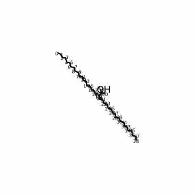 CCCCCCCCCCCCCCCCCCCN(CCCCCCCCCCCCCCCCCCC)C(C)O